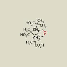 CC(C)(CC1COCC(CC(C)(C)C(=O)O)C1CC(C)(C)C(=O)O)C(=O)O